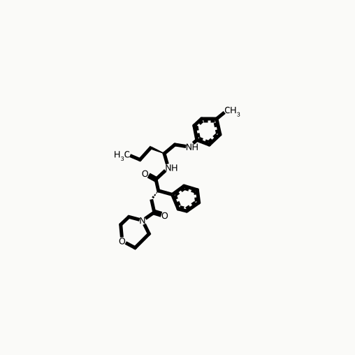 CCC[C@@H](CNc1ccc(C)cc1)NC(=O)[C@@H](CC(=O)N1CCOCC1)c1ccccc1